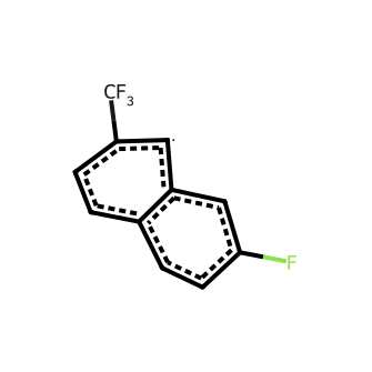 Fc1ccc2ccc(C(F)(F)F)[c]c2c1